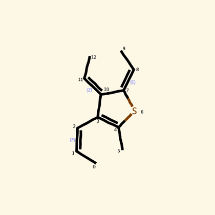 C/C=C\c1c(C)sc(=C/C)/c1=C\C